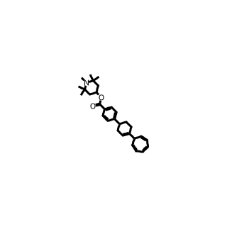 CN1C(C)(C)CC(OC(=O)c2ccc(C3CC=C(C4C=CC=CC=C4)CC3)cc2)CC1(C)C